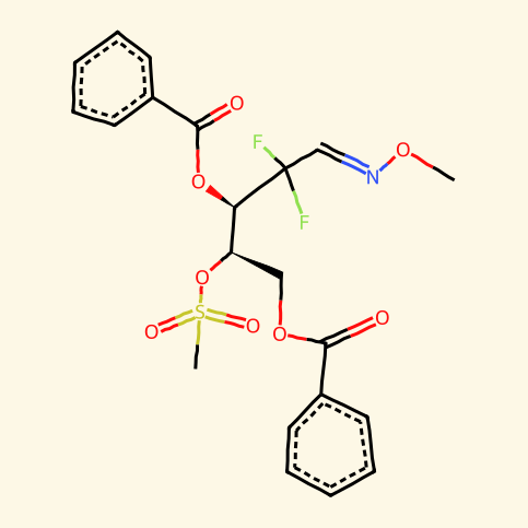 CO/N=C/C(F)(F)[C@H](OC(=O)c1ccccc1)[C@@H](COC(=O)c1ccccc1)OS(C)(=O)=O